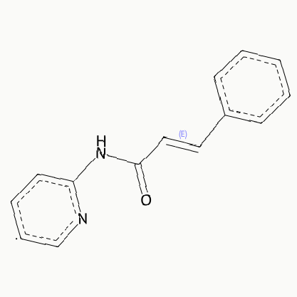 O=C(/C=C/c1ccccc1)Nc1cc[c]cn1